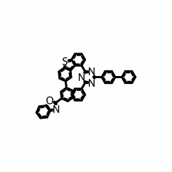 c1ccc(-c2ccc(-c3nc(-c4ccccc4)nc(-c4cccc5sc6ccc(-c7cccc(-c8nc9ccccc9o8)c7)cc6c45)n3)cc2)cc1